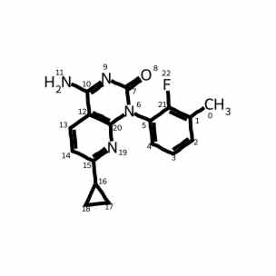 Cc1cccc(-n2c(=O)nc(N)c3ccc(C4CC4)nc32)c1F